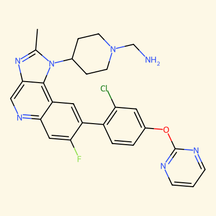 Cc1nc2cnc3cc(F)c(-c4ccc(Oc5ncccn5)cc4Cl)cc3c2n1C1CCN(CN)CC1